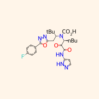 CCCC[C@@H](C(=O)C(=O)Nc1ccn[nH]1)N(C(=O)O)C(Cc1nnc(-c2ccc(F)cc2)o1)C(C)(C)C